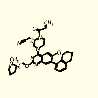 C=CC(=O)N1CCN(c2nc(OC[C@@H]3CCCN3C)nc3cc(-c4cccc5c4CCCC5)c(Cl)cc23)C[C@@H]1CC#N